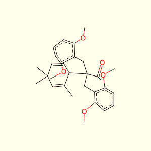 COc1cccc(OC)c1CC(Cc1c(OC)cccc1OC)(C(C)=O)C1C=CC(C)(C)C=C1C